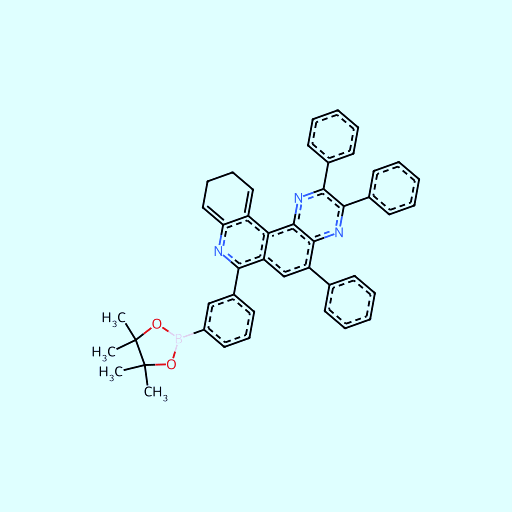 CC1(C)OB(c2cccc(-c3nc4c(c5c3cc(-c3ccccc3)c3nc(-c6ccccc6)c(-c6ccccc6)nc35)=CCCC=4)c2)OC1(C)C